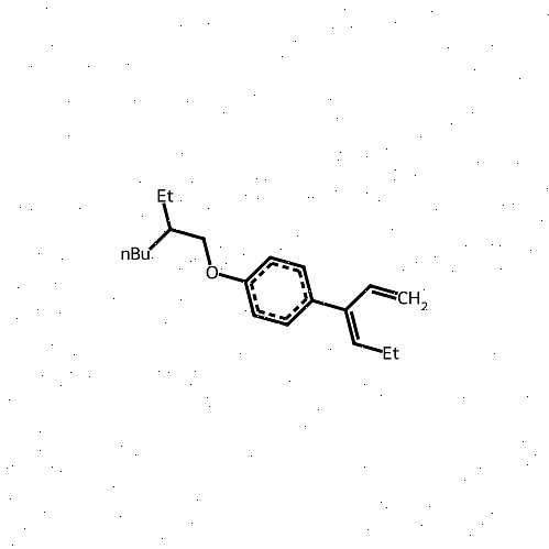 C=C/C(=C\CC)c1ccc(OCC(CC)CCCC)cc1